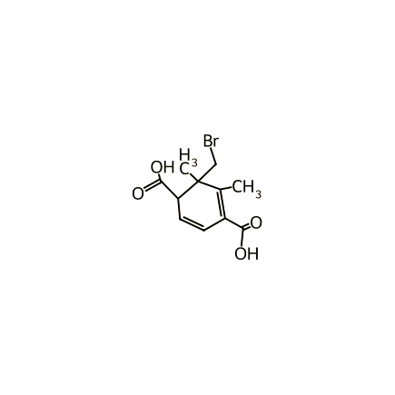 CC1=C(C(=O)O)C=CC(C(=O)O)C1(C)CBr